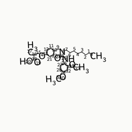 CCCCCCCCN(Cc1ccc(OCC(C)C(=O)O)cc1)C(=O)Nc1ccc(OC)cc1OC